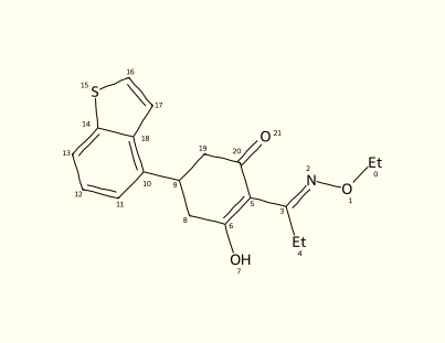 CCON=C(CC)C1=C(O)CC(c2cccc3sccc23)CC1=O